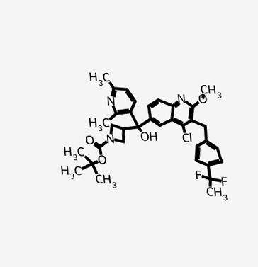 COc1nc2ccc(C(O)(c3ccc(C)nc3C)C3CN(C(=O)OC(C)(C)C)C3)cc2c(Cl)c1Cc1ccc(C(C)(F)F)cc1